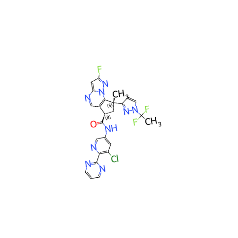 CC(F)(F)n1ccc([C@]2(C)C[C@@H](C(=O)Nc3cnc(-c4ncccn4)c(Cl)c3)c3cnc4cc(F)nn4c32)n1